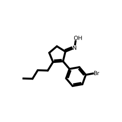 CCCCC1=C(c2cccc(Br)c2)C(=NO)CC1